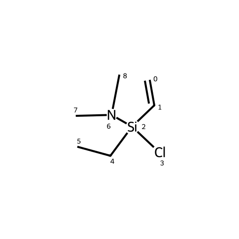 C=C[Si](Cl)(CC)N(C)C